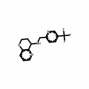 FC(F)(F)c1ccc(CNC2CCOc3cccnc32)nc1